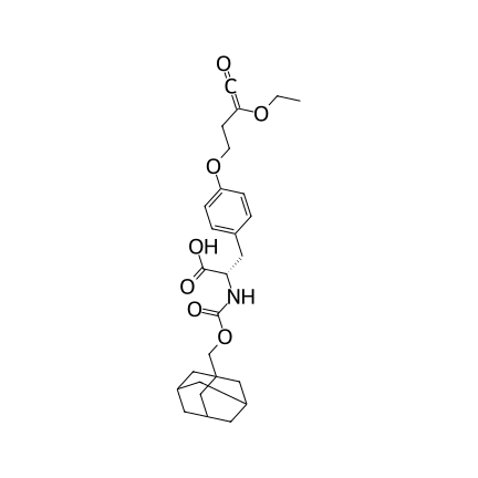 CCOC(=C=O)CCOc1ccc(C[C@H](NC(=O)OCC23CC4CC(CC(C4)C2)C3)C(=O)O)cc1